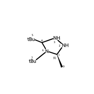 C[C@@H]1NNC(C(C)(C)C)N1C(C)(C)C